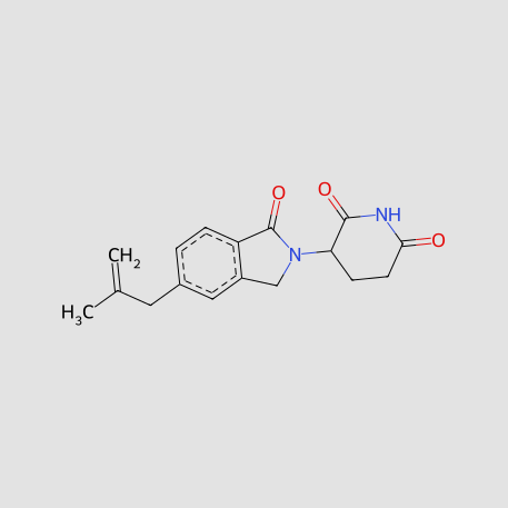 C=C(C)Cc1ccc2c(c1)CN(C1CCC(=O)NC1=O)C2=O